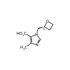 Cc1ncn(C[C@@H]2CCO2)c1C(=O)O